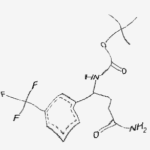 CC(C)(C)OC(=O)NC(CC(N)=O)c1cccc(C(F)(F)F)c1